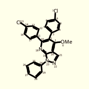 COc1c(-c2ccc(Cl)cc2)c(-c2ccc(Cl)cc2)nc2c1cnn2-c1ccccc1